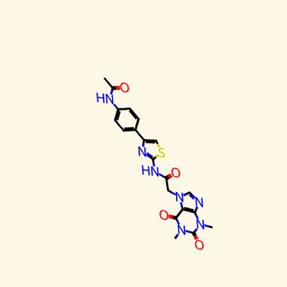 CC(=O)Nc1ccc(-c2csc(NC(=O)Cn3cnc4c3c(=O)n(C)c(=O)n4C)n2)cc1